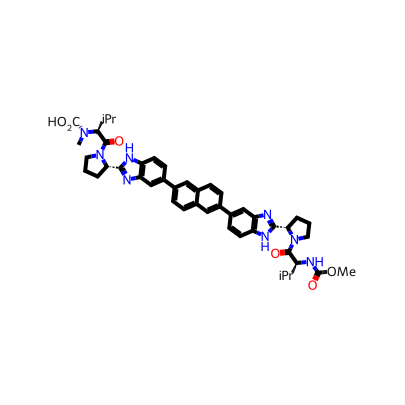 COC(=O)N[C@H](C(=O)N1CCC[C@H]1c1nc2cc(-c3ccc4cc(-c5ccc6[nH]c([C@@H]7CCCN7C(=O)[C@H](C(C)C)N(C)C(=O)O)nc6c5)ccc4c3)ccc2[nH]1)C(C)C